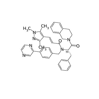 Cc1nn(C)c(C)c1C=CC(=O)N(Cc1ccc(-c2cnccn2)cc1)[C@@H](Cc1ccccc1)C(=O)N1CCc2ccccc2C1